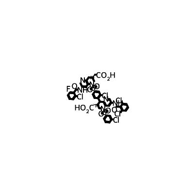 O=C(O)C[C@@H]1Cc2ncc(NC(=O)c3c(F)cccc3Cl)cc2N(S(=O)(=O)c2ccc(C3c4ncc(NC(=O)c5c(Cl)cccc5Cl)cc4N(S(=O)(=O)c4cccc(Cl)c4)C[C@@H]3CC(=O)O)c(Cl)c2)C1